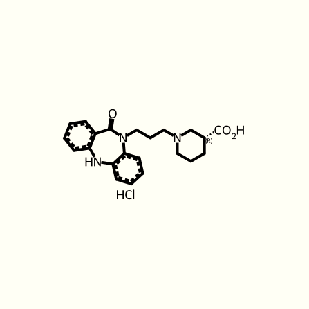 Cl.O=C(O)[C@@H]1CCCN(CCCN2C(=O)c3ccccc3Nc3ccccc32)C1